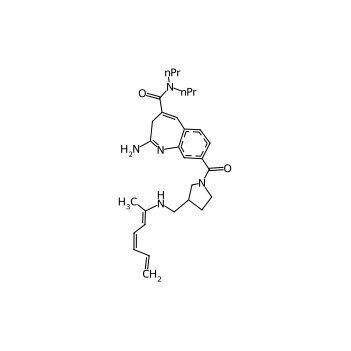 C=C/C=C\C=C(/C)NCC1CCN(C(=O)c2ccc3c(c2)N=C(N)CC(C(=O)N(CCC)CCC)=C3)C1